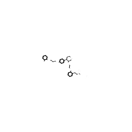 O=C(O)NCCc1ccccc1OCCOC1CNCCC1c1ccc(OCCCOc2ccccc2F)cc1